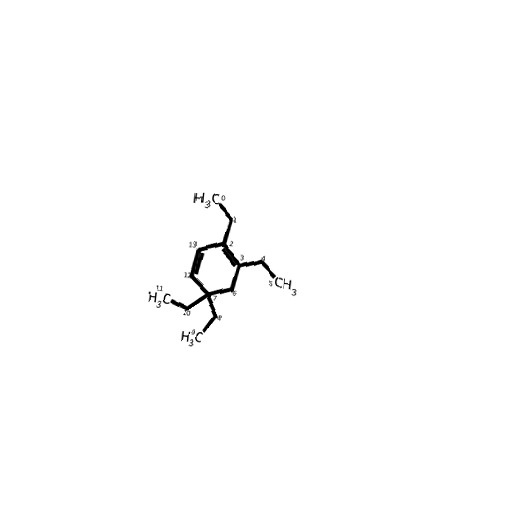 CCC1=C(CC)CC(CC)(CC)C=C1